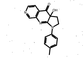 Cc1ccc(N2CCC3(O)C(=O)c4ccncc4N=C23)cc1